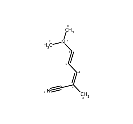 CC(C#N)=CC=CN(C)C